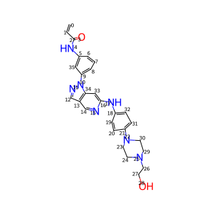 C=CC(=O)Nc1cccc(-n2ncc3cnc(Nc4ccc(N5CCN(CCO)CC5)cc4)cc32)c1